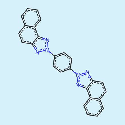 c1ccc2c(c1)ccc1nn(-c3ccc(-n4nc5ccc6ccccc6c5n4)cc3)nc12